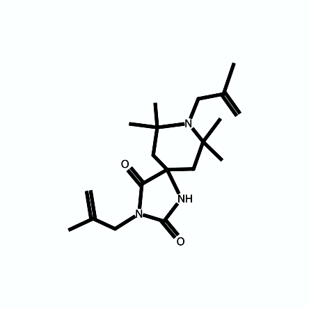 C=C(C)CN1C(=O)NC2(CC(C)(C)N(CC(=C)C)C(C)(C)C2)C1=O